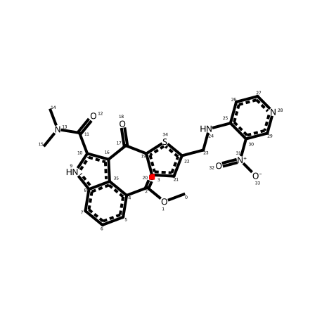 COC(=O)c1cccc2[nH]c(C(=O)N(C)C)c(C(=O)c3ccc(CNc4ccncc4[N+](=O)[O-])s3)c12